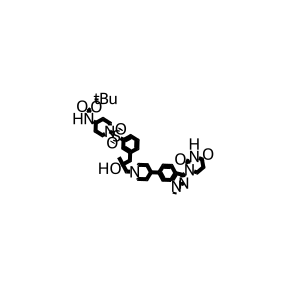 Cn1nc(N2CCC(=O)NC2=O)c2ccc(C3CCN(CC(C)(O)Cc4cccc(S(=O)(=O)N5CCC(NC(=O)OC(C)(C)C)CC5)c4)CC3)cc21